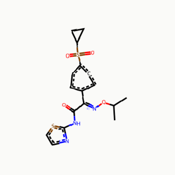 CC(C)O/N=C(/C(=O)Nc1nccs1)c1ccc(S(=O)(=O)C2CC2)cc1